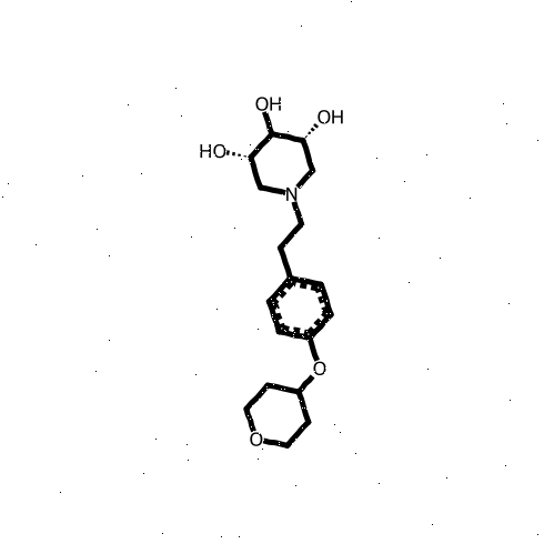 OC1[C@H](O)CN(CCc2ccc(OC3CCOCC3)cc2)C[C@@H]1O